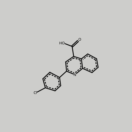 O=C(O)c1cc(-c2ccc(Cl)cc2)nc2ccccc12